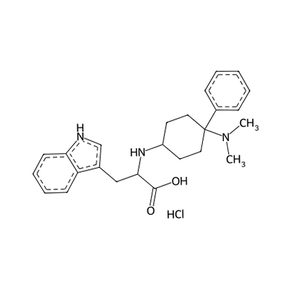 CN(C)C1(c2ccccc2)CCC(NC(Cc2c[nH]c3ccccc23)C(=O)O)CC1.Cl